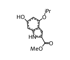 COC(=O)c1cc2c(OC(C)C)cc(O)cc2[nH]1